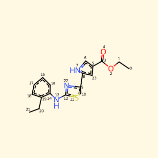 CCOC(=O)c1c[nH]c(-c2csc(Nc3ccccc3CC)n2)c1